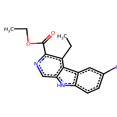 CCOC(=O)c1ncc2[nH]c3ccc(I)cc3c2c1CC